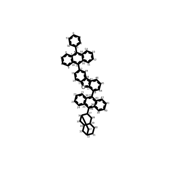 c1ccc(-c2c3ccccc3c(-c3ccc4oc5c(-c6c7ccccc7c(C7CC8CCC9CC8CC7C9)c7ccccc67)cccc5c4c3)c3ccccc23)cc1